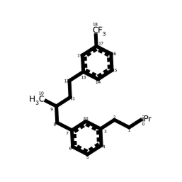 CC(C)CCc1cccc(CC(C)CCc2cccc(C(F)(F)F)c2)c1